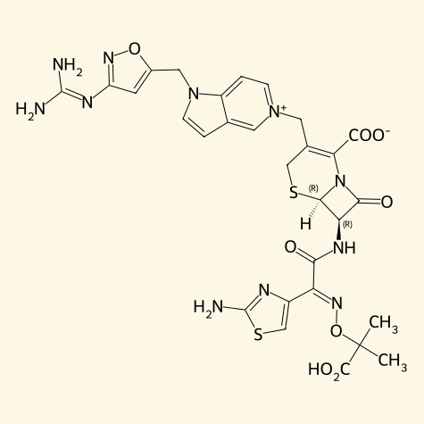 CC(C)(ON=C(C(=O)N[C@@H]1C(=O)N2C(C(=O)[O-])=C(C[n+]3ccc4c(ccn4Cc4cc(N=C(N)N)no4)c3)CS[C@H]12)c1csc(N)n1)C(=O)O